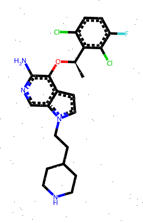 C[C@@H](Oc1c(N)ncc2c1ccn2CCC1CCNCC1)c1c(Cl)ccc(F)c1Cl